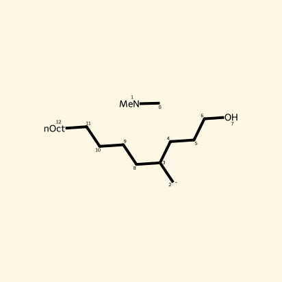 CNC.[CH2]C(CCCO)CCCCCCCCCCCC